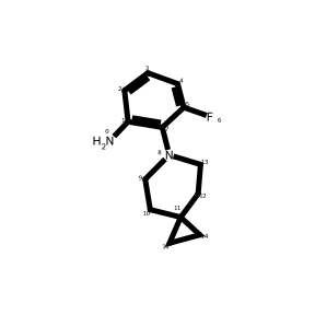 Nc1cccc(F)c1N1CCC2(CC1)CC2